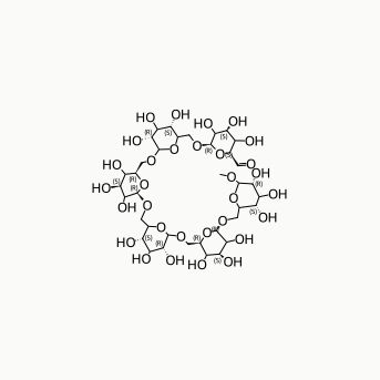 COC1OC(CO[C@@H]2O[C@H](COC3OC(CO[C@@H]4O[C@H](COC5OC(CO[C@@H]6O[C@H](C=O)C(O)[C@H](O)C6O)[C@@H](O)C(O)[C@H]5O)C(O)[C@H](O)C4O)[C@@H](O)C(O)[C@H]3O)C(O)[C@H](O)C2O)[C@@H](O)C(O)[C@H]1O